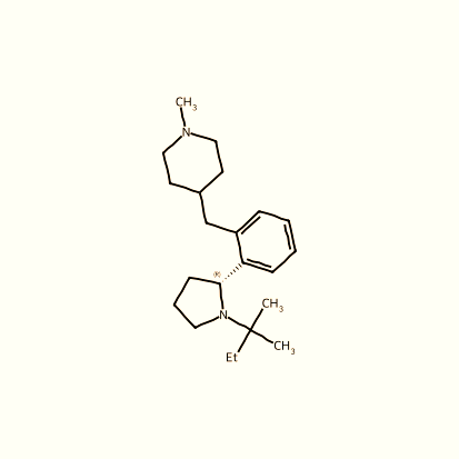 CCC(C)(C)N1CCC[C@@H]1c1ccccc1CC1CCN(C)CC1